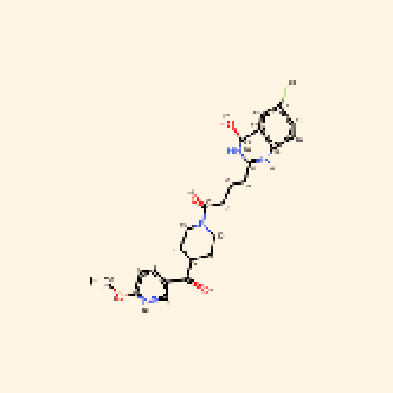 COc1ccc(C(=O)C2CCN(C(=O)CCCC3=Nc4ccc(F)cc4C(O)N3)CC2)cn1